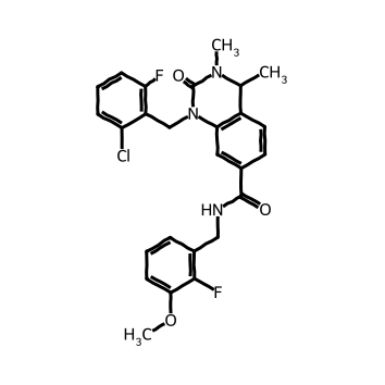 COc1cccc(CNC(=O)c2ccc3c(c2)N(Cc2c(F)cccc2Cl)C(=O)N(C)C3C)c1F